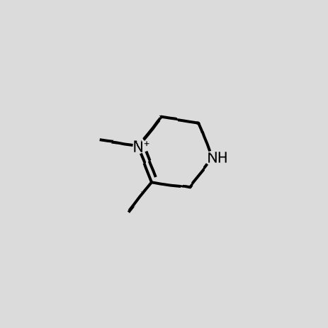 CC1=[N+](C)CCNC1